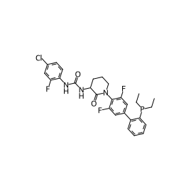 CCP(CC)c1ccccc1-c1cc(F)c(N2CCCC(NC(=O)Nc3ccc(Cl)cc3F)C2=O)c(F)c1